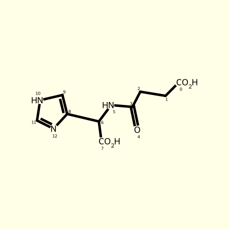 O=C(O)CCC(=O)NC(C(=O)O)c1c[nH]cn1